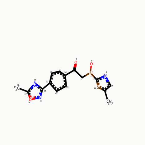 Cc1cnc([S+]([O-])CC(=O)c2ccc(-c3noc(C(F)(F)F)n3)cc2)s1